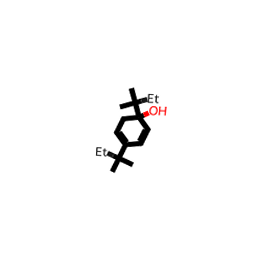 CCC(C)(C)C1=CCC(O)(C(C)(C)CC)C=C1